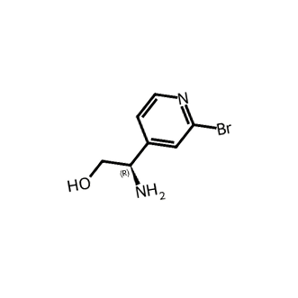 N[C@@H](CO)c1ccnc(Br)c1